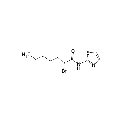 CCCCCC(Br)C(=O)Nc1nccs1